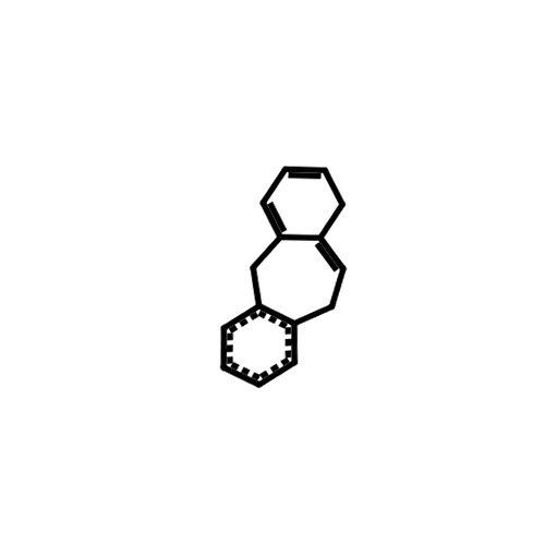 C1=CCC2=CCc3ccccc3CC2=C1